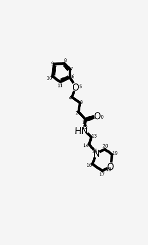 O=C(CCCOc1[c]cccc1)NCCN1CCOCC1